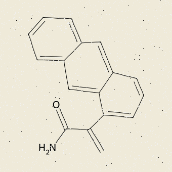 C=C(C(N)=O)c1cccc2cc3ccccc3cc12